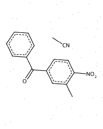 CC#N.Cc1cc(C(=O)c2ccccc2)ccc1[N+](=O)[O-]